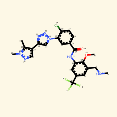 CNCc1cc(C(F)(F)F)cc(NC(=O)c2ccc(Cl)c(-n3cc(-c4cnn(C)c4C)nn3)c2)c1OC